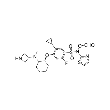 CN(C1CNC1)[C@H]1CCCC[C@@H]1Oc1cc(F)c(S(=O)(=O)N(OC=O)c2nccs2)cc1C1CC1